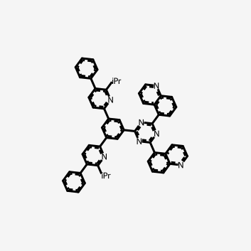 CC(C)c1nc(-c2cc(-c3ccc(-c4ccccc4)c(C(C)C)n3)cc(-c3nc(-c4cccc5ncccc45)nc(-c4cccc5ncccc45)n3)c2)ccc1-c1ccccc1